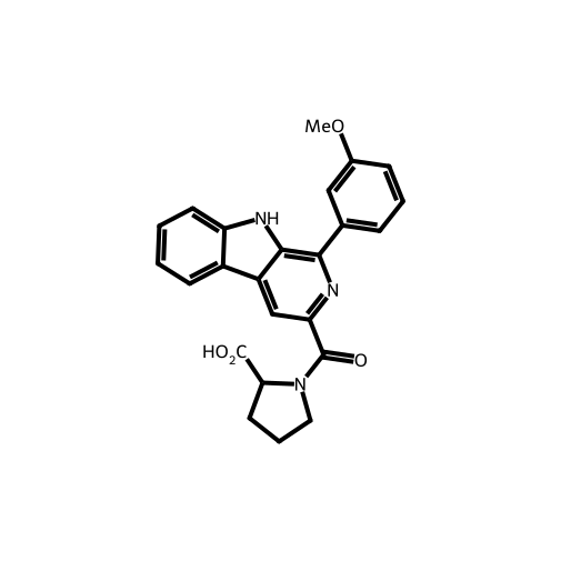 COc1cccc(-c2nc(C(=O)N3CCCC3C(=O)O)cc3c2[nH]c2ccccc23)c1